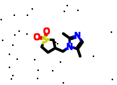 Cc1cnc(C)n1CC1CCS(=O)(=O)C1